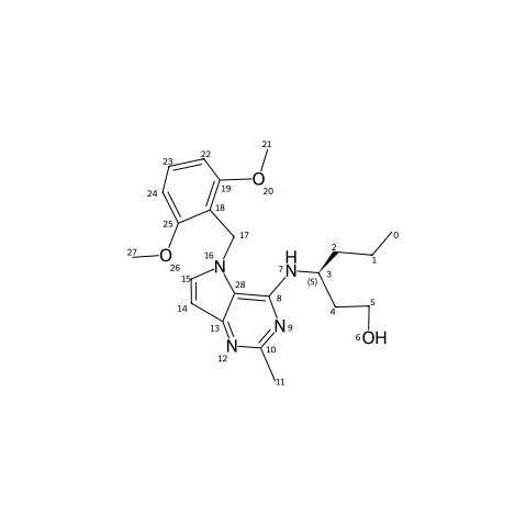 CCC[C@@H](CCO)Nc1nc(C)nc2ccn(Cc3c(OC)cccc3OC)c12